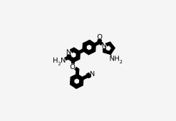 N#Cc1ccccc1COc1cc(-c2ccc(C(=O)N3CC[C@H](N)C3)cc2)cnc1N